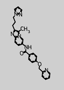 Cc1c(CCCn2cccn2)nc2ccc(NC(=O)c3ccc(OCc4ccccn4)cc3)cn12